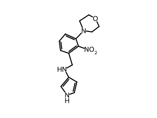 O=[N+]([O-])c1c(CNc2cc[nH]c2)cccc1N1CCOCC1